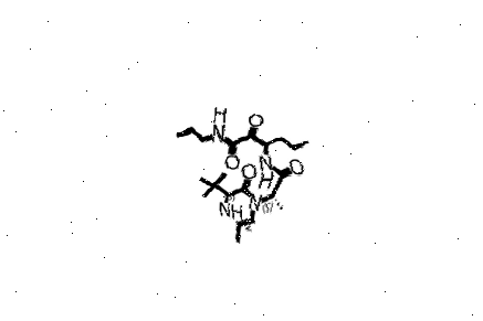 C=CCNC(=O)C(=O)C(CCC)NC(=O)[C@H](C)N(CCC)C(=O)[C@@H](N)C(C)(C)C